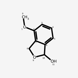 COc1cccc2c1COC2O